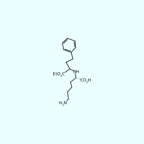 CCOC(=O)C(CCc1ccccc1)N[C@@H](CCCCN)C(=O)O